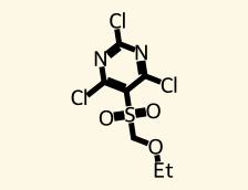 CCOCS(=O)(=O)c1c(Cl)nc(Cl)nc1Cl